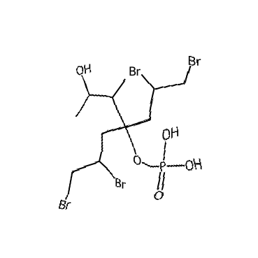 CC(O)C(C)C(CC(Br)CBr)(CC(Br)CBr)OP(=O)(O)O